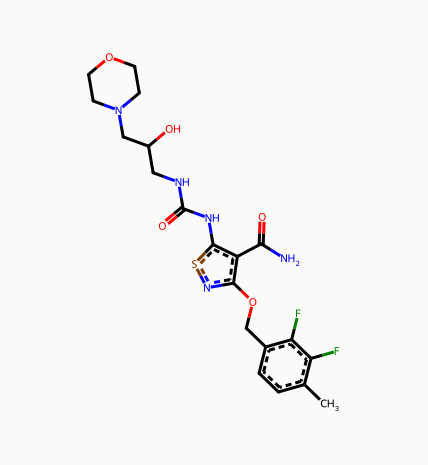 Cc1ccc(COc2nsc(NC(=O)NCC(O)CN3CCOCC3)c2C(N)=O)c(F)c1F